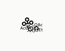 CC[C@H]1O[C@H](O[C@H]2O[C@H](COC(c3ccccc3)(c3ccccc3)c3ccccc3)[C@@H](OC(C)=O)[C@H](C)[C@H]2C)[C@H](OC(C)=O)[C@@H](OC(C)=O)[C@@H]1C